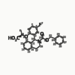 C[C@@H](Oc1ccc(F)cc1C1c2ccccc2CCN1C(=O)OCc1ccccc1)C(=O)O